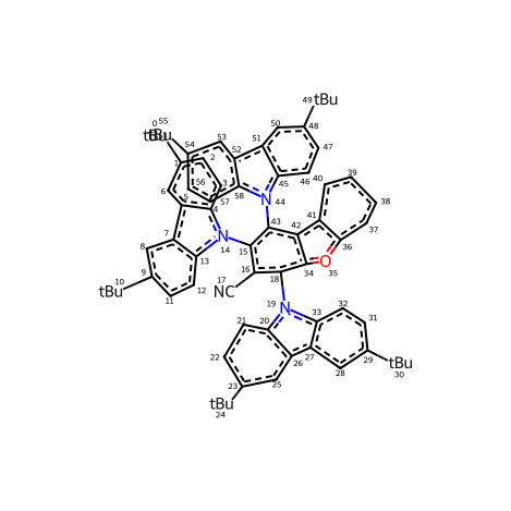 CC(C)(C)c1ccc2c(c1)c1cc(C(C)(C)C)ccc1n2-c1c(C#N)c(-n2c3ccc(C(C)(C)C)cc3c3cc(C(C)(C)C)ccc32)c2oc3ccccc3c2c1-n1c2ccc(C(C)(C)C)cc2c2cc(C(C)(C)C)ccc21